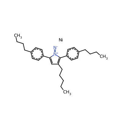 CCCCCC1=C(c2ccc(CCCC)cc2)[N+](=[N-])C(c2ccc(CCCC)cc2)=C1.[Ni]